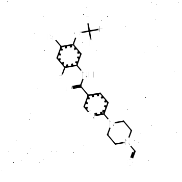 O=CN1CCN(c2ccc(C(=O)Nc3cc(OC(F)(F)F)c(Br)cc3F)cn2)CC1